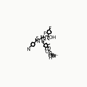 Br.CCC(O)(Cn1c[n+](Cc2cc(C)c(OC(=O)CNC)c(C)c2)c(-c2nc(-c3ccc(C#N)cc3)cs2)n1)c1ccc(F)cc1F.[Br-]